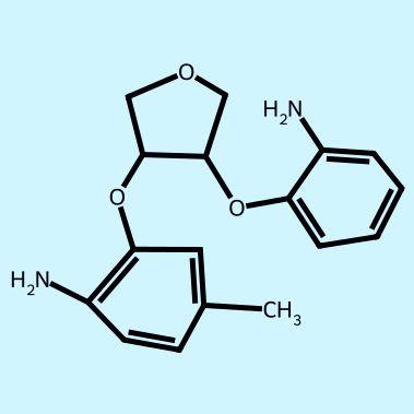 Cc1ccc(N)c(OC2COCC2Oc2ccccc2N)c1